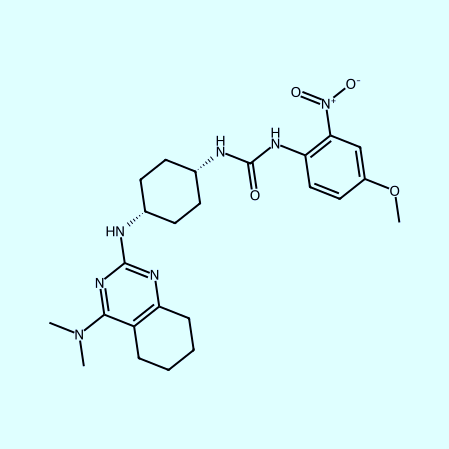 COc1ccc(NC(=O)N[C@H]2CC[C@@H](Nc3nc4c(c(N(C)C)n3)CCCC4)CC2)c([N+](=O)[O-])c1